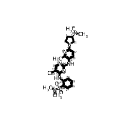 Cc1nc(N2CC[C@@H](N(C)C)C2)ccc1Nc1ncc(Cl)c(Nc2ccccc2S(=O)(=O)N(C)C)n1